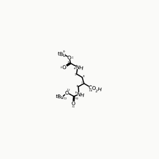 CC(C)(C)OC(=O)NCCC(CNC(=O)OC(C)(C)C)C(=O)O